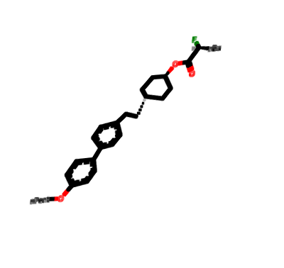 CCCCCOc1ccc(-c2ccc(CC[C@H]3CC[C@H](OC(=O)[C@@H](F)CCCC)CC3)cc2)cc1